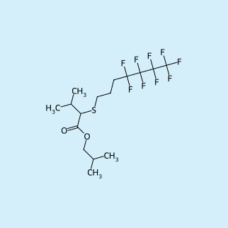 CC(C)COC(=O)C(SCCCC(F)(F)C(F)(F)C(F)(F)C(F)(F)F)C(C)C